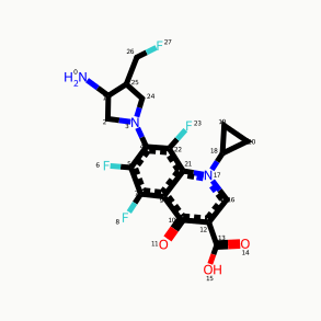 NC1CN(c2c(F)c(F)c3c(=O)c(C(=O)O)cn(C4CC4)c3c2F)CC1CF